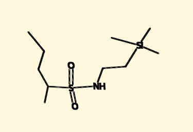 CCCC(C)S(=O)(=O)NCC[Si](C)(C)C